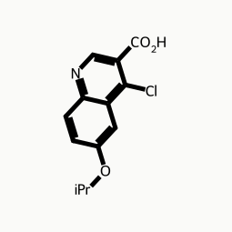 CC(C)Oc1ccc2ncc(C(=O)O)c(Cl)c2c1